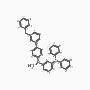 CN(c1ccc(-c2cccc(Cc3ccccc3)c2)cc1)c1cccc(N(c2ccccc2)c2ccccc2)c1